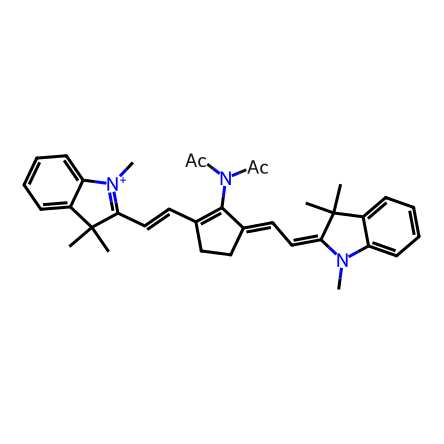 CC(=O)N(C(C)=O)C1=C(/C=C/C2=[N+](C)c3ccccc3C2(C)C)CC/C1=C\C=C1\N(C)c2ccccc2C1(C)C